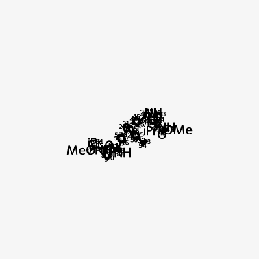 COC(=O)N[C@H](C(=O)N1CCC[C@H]1c1nc(-c2ccc([C@@H]3CC[C@@H](c4ccc(-c5c[nH]c([C@@H]6CCCN6C(=O)[C@@H](NC(=O)OC)C(C)C)n5)cc4)N3c3ccc(C4CC4)cc3)cc2)c[nH]1)C(C)C